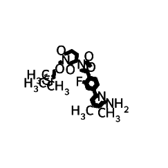 Cc1cc(-c2ccc(-c3cn(C4CCC(=O)N(COCC[Si](C)(C)C)C4=O)c(=O)o3)c(F)c2)nc(N)c1C